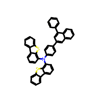 c1ccc(-c2cc(-c3ccc(N(c4cccc5c4sc4ccccc45)c4cccc5c4sc4ccccc45)cc3)cc3ccccc23)cc1